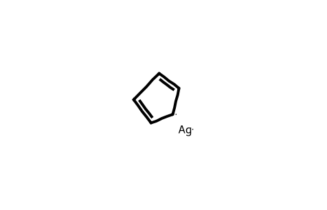 [Ag].[CH]1C=CC=C1